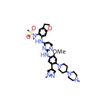 COc1cc(N2CCC(N3CCN(C)CC3)CC2)c(-c2cnn(C)c2)cc1Nc1nccc(Nc2cc3c(cc2N(C)S(C)(=O)=O)CCO3)n1